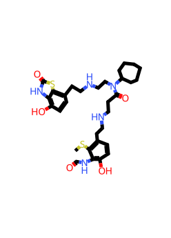 CSc1c(CCNCCC(=O)N(CCNCCc2ccc(O)c3[nH]c(=O)sc23)C2CCCCCC2)ccc(O)c1NC=O